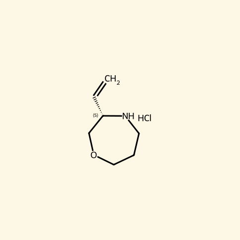 C=C[C@H]1COCCCN1.Cl